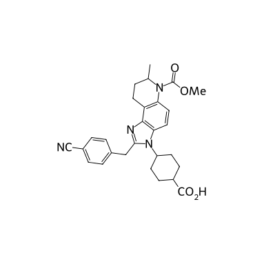 COC(=O)N1c2ccc3c(nc(Cc4ccc(C#N)cc4)n3C3CCC(C(=O)O)CC3)c2CCC1C